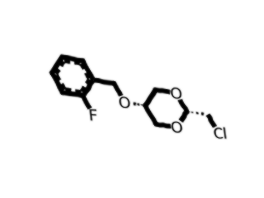 Fc1ccccc1CO[C@H]1CO[C@@H](CCl)OC1